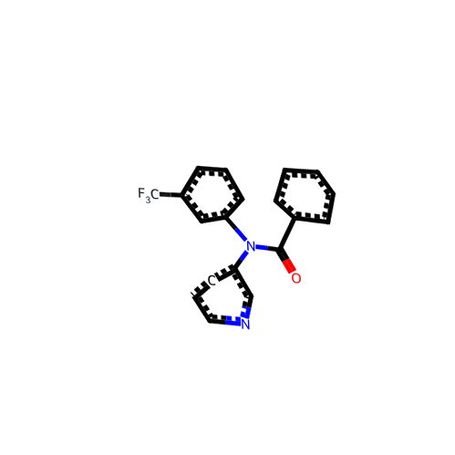 O=C(c1ccccc1)N(c1cccnc1)c1cccc(C(F)(F)F)c1